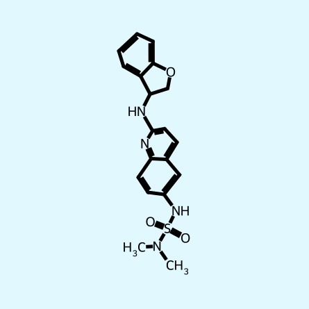 CN(C)S(=O)(=O)Nc1ccc2nc(NC3COc4ccccc43)ccc2c1